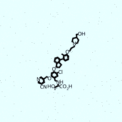 Cc1c(OCCCN2CCC(CO)CC2)cccc1-c1cccc2c1CC[C@@H]2Oc1cc(OCc2cncc(C#N)c2)c(CN[C@H](C(=O)O)[C@@H](C)O)cc1Cl